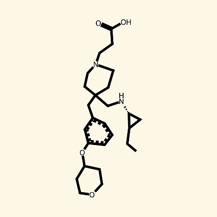 CCC1C[C@H]1NCC1(Cc2cccc(OC3CCOCC3)c2)CCN(CCC(=O)O)CC1